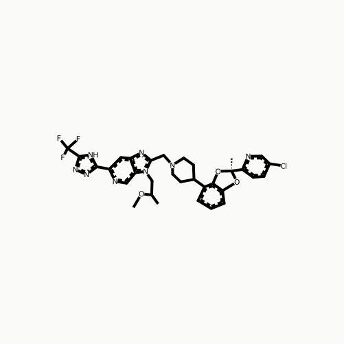 COC(C)Cn1c(CN2CCC(c3cccc4c3O[C@@](C)(c3ccc(Cl)cn3)O4)CC2)nc2cc(-c3nnc(C(F)(F)F)[nH]3)ncc21